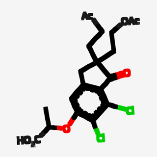 CC(=O)CCC1(CCOC(C)=O)Cc2cc(OC(C)C(=O)O)c(Cl)c(Cl)c2C1=O